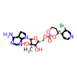 C[C@@]1(O)[C@H](O)[C@@H](CO[P@@]2(=O)OCC[C@H](c3ccncc3Br)O2)O[C@H]1n1ccc2c(N)ncnc21